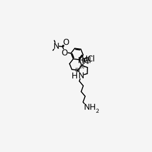 CN(C)C(=O)Oc1cccc2c1CC[C@@H]1[C@H]2CCN1CCCCCN.Cl.Cl